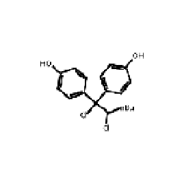 CCCCC(Cl)C(Cl)(c1ccc(O)cc1)c1ccc(O)cc1